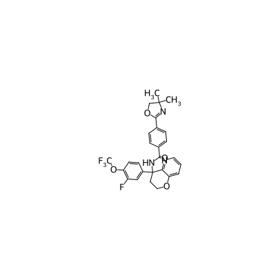 CC1(C)COC(c2ccc(C(=O)NC3(c4ccc(OC(F)(F)F)c(F)c4)CCOc4cccnc43)cc2)=N1